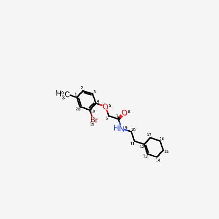 Cc1ccc(OCC(=O)NCCC2=CCCCC2)c(Br)c1